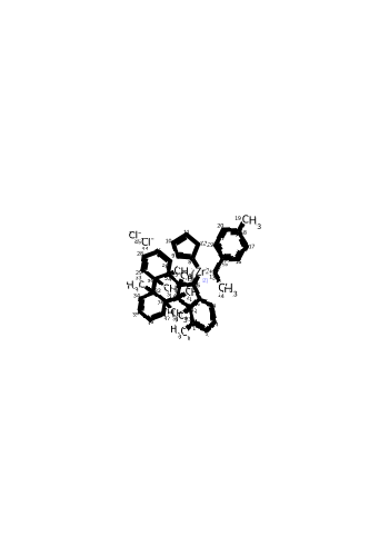 CC1=CC=CC2[CH](/[Zr+2]([C]3=CC=CC3)=[C](\C)c3ccc(C)cc3)C3(C)C4(C)C=CC=CC4(C)C4(C)C=CC=CC4(C)C3(C)C12C.[Cl-].[Cl-]